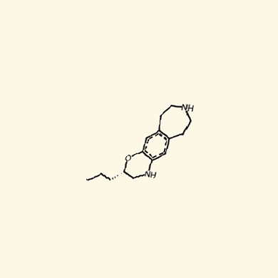 CCC[C@H]1CNc2cc3c(cc2O1)CCNCC3